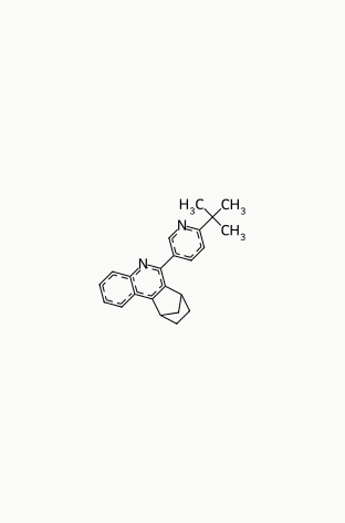 CC(C)(C)c1ccc(-c2nc3ccccc3c3c2C2CCC3C2)cn1